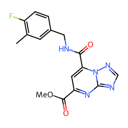 COC(=O)c1cc(C(=O)NCc2ccc(F)c(C)c2)n2ncnc2n1